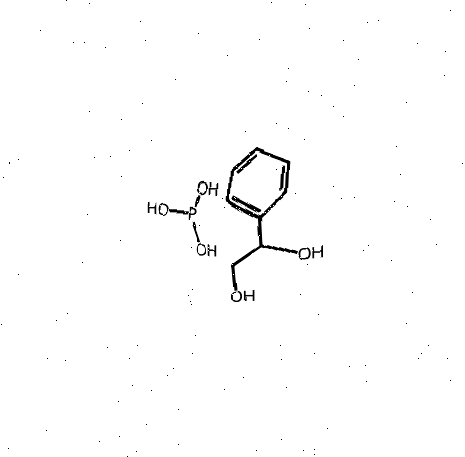 OCC(O)c1ccccc1.OP(O)O